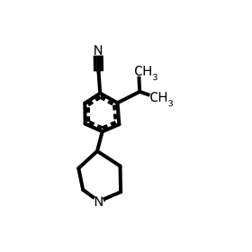 CC(C)c1cc(C2CC[N]CC2)ccc1C#N